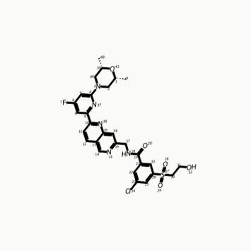 C[C@@H]1CN(c2cc(F)cc(-c3ccc4cnc(CNC(=O)c5cc(Cl)cc(S(=O)(=O)CCO)c5)cc4n3)n2)C[C@H](C)O1